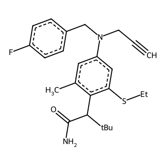 C#CCN(Cc1ccc(F)cc1)c1cc(C)c(C(C(N)=O)C(C)(C)C)c(SCC)c1